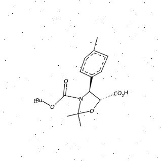 Cc1ccc([C@H]2[C@H](C(=O)O)OC(C)(C)N2C(=O)OC(C)(C)C)cc1